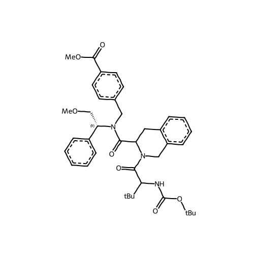 COC[C@@H](c1ccccc1)N(Cc1ccc(C(=O)OC)cc1)C(=O)C1Cc2ccccc2CN1C(=O)C(NC(=O)OC(C)(C)C)C(C)(C)C